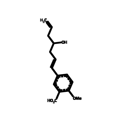 C=CCC(O)CC=Cc1ccc(OC)c(C(=O)O)c1